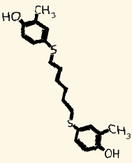 Cc1cc(SCCCCCCSc2ccc(O)c(C)c2)ccc1O